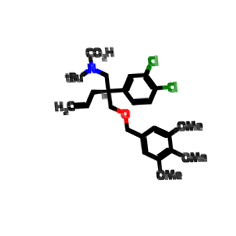 C=CC[C@@](COCc1cc(OC)c(OC)c(OC)c1)(CN(C(=O)O)C(C)(C)C)c1ccc(Cl)c(Cl)c1